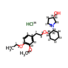 CCOc1ccc(CCO[C@@H]2CCCC[C@H]2N2CC[C@@H](O)C2)cc1OC.Cl